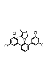 CC1=C(C)N(c2c(-c3cc(Cl)cc(Cl)c3)cccc2-c2cc(Cl)cc(Cl)c2)[C]S1